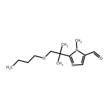 CCCCOCC(C)(C)c1ncc(C=O)n1C